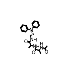 CC(=O)NC(C)C(=O)NC(C)C(=O)NCSN(c1ccccc1)c1ccccc1